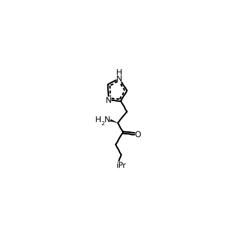 CC(C)CCC(=O)[C@@H](N)Cc1c[nH]cn1